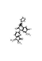 Cc1cc(N(C(=O)C#C[C@H]2CCOC2)c2ccc3c(n2)c(=O)n(C)n3C)c(C2CC2)cc1I